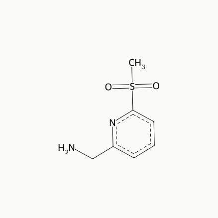 CS(=O)(=O)c1cccc(CN)n1